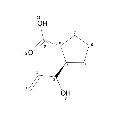 C=CC(O)[C@@H]1CCC[C@H]1C(=O)O